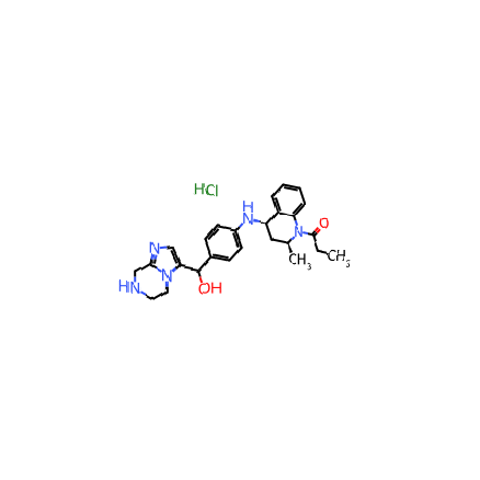 CCC(=O)N1c2ccccc2[C@H](Nc2ccc(C(O)c3cnc4n3CCNC4)cc2)C[C@@H]1C.Cl